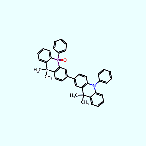 CC1(C)c2ccccc2N(c2ccccc2)c2ccc(-c3ccc4c(c3)P(=O)(c3ccccc3)c3ccccc3[Si]4(C)C)cc21